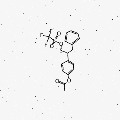 CC(=O)Oc1ccc(C(Cc2ccccc2)SOS(=O)(=O)C(F)(F)F)cc1